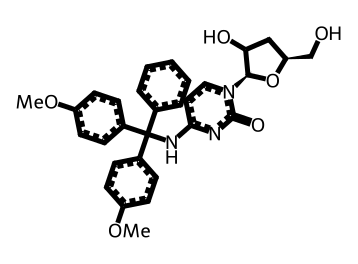 COc1ccc(C(Nc2ccn([C@@H]3O[C@H](CO)CC3O)c(=O)n2)(c2ccccc2)c2ccc(OC)cc2)cc1